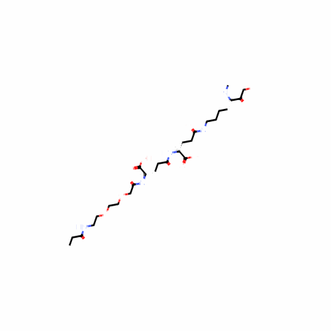 CCC(=O)NCCOCCOCC(=O)N[C@@H](CCC(=O)N[C@@H](CCC(=O)NCCCC[C@H](NC)C(=O)CO)C(=O)O)C(=O)O